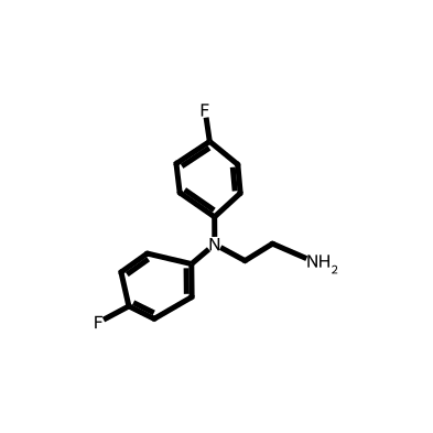 NCCN(c1ccc(F)cc1)c1ccc(F)cc1